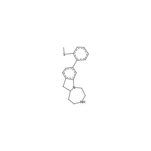 CSc1ccccc1-c1ccc2c(c1)N1CCNCCC1C2